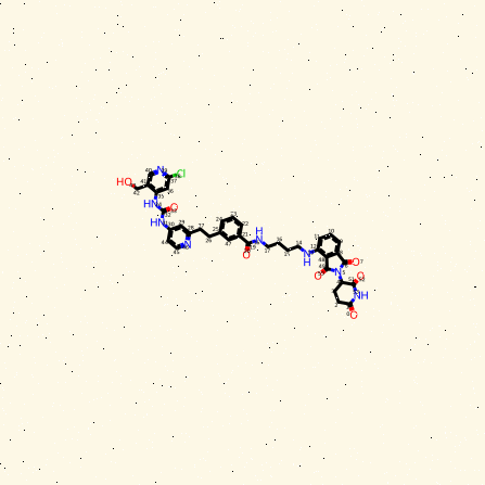 O=C1CCC(N2C(=O)c3cccc(NCCCCNC(=O)c4cccc(CCc5cc(NC(=O)Nc6cc(Cl)ncc6CO)ccn5)c4)c3C2=O)C(=O)N1